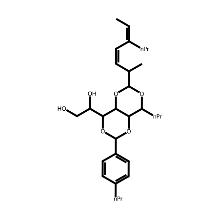 C/C=C(\C=C/C(C)C1OC(CCC)C2OC(c3ccc(CCC)cc3)OC(C(O)CO)C2O1)CCC